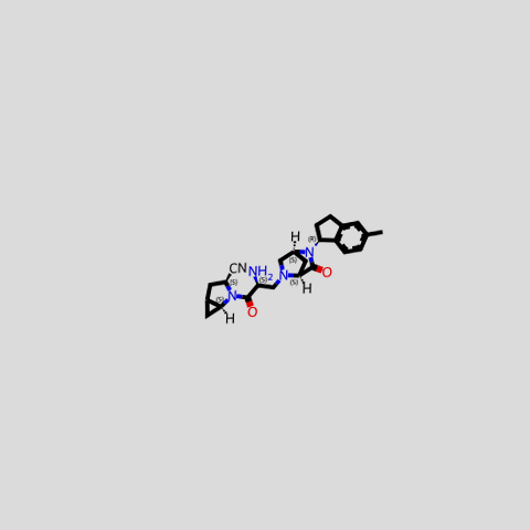 Cc1ccc2c(c1)CC[C@H]2N1C(=O)[C@@H]2C[C@H]1CN2C[C@H](N)C(=O)N1[C@H](C#N)CC2C[C@@H]21